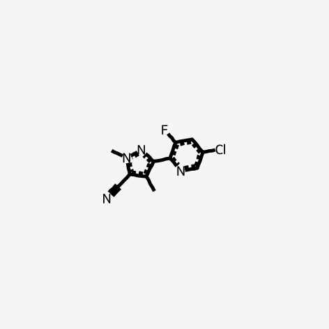 Cc1c(-c2ncc(Cl)cc2F)nn(C)c1C#N